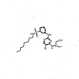 CCCCCCCCNS(=O)(=O)c1cccc(Nc2ncc(Br)c(N[C@H](CC)CO)n2)c1